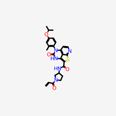 C=CC(=O)N1CCC(NC(=O)c2sc3nccc4c3c2NC(=O)N4c2ccc(OC(C)C)cc2C)C1